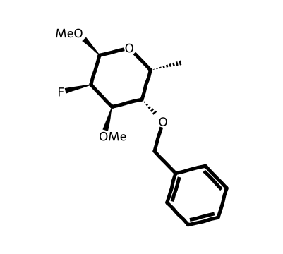 CO[C@H]1O[C@H](C)[C@H](OCc2ccccc2)[C@@H](OC)[C@H]1F